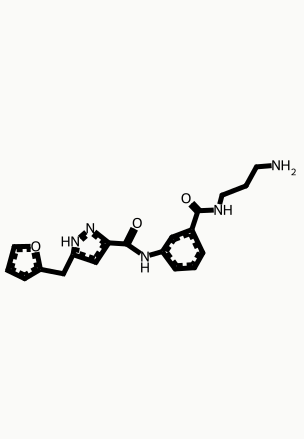 NCCCNC(=O)c1cccc(NC(=O)c2cc(Cc3ccco3)[nH]n2)c1